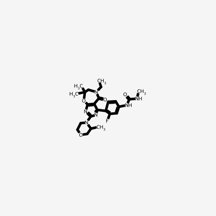 CCN1CC(C)(C)Oc2nc(N3CCOCC3C)nc(-c3ccc(NC(=O)NC)cc3F)c2C1=O